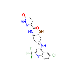 O=C1CCC(C(=O)N[C@H]2CC[C@@H](Nc3cc(C(F)(F)F)nc4ccc(Cl)cc34)CC2S)=NN1